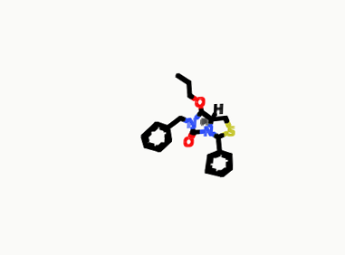 CCCOC1[C@@H]2CSC(c3ccccc3)N2C(=O)N1Cc1ccccc1